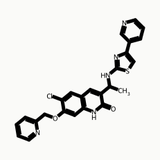 CC(Nc1nc(-c2cccnc2)cs1)c1cc2cc(Cl)c(OCc3ccccn3)cc2[nH]c1=O